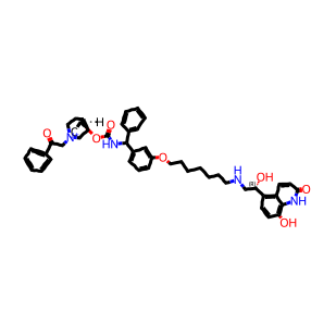 O=C(NC(c1ccccc1)c1cccc(OCCCCCCCNC[C@H](O)c2ccc(O)c3[nH]c(=O)ccc23)c1)O[C@H]1C[N+]2(CC(=O)c3ccccc3)CCC1CC2